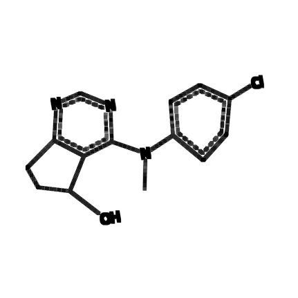 CN(c1ccc(Cl)cc1)c1ncnc2c1C(O)CC2